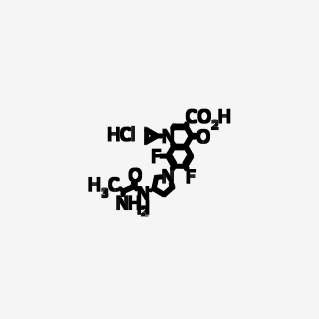 C[C@H](N)C(=O)N[C@H]1CCN(c2c(F)cc3c(=O)c(C(=O)O)cn(C4CC4)c3c2F)C1.Cl